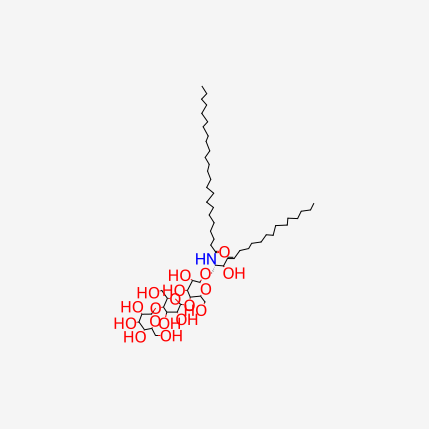 CCCCCCCCCCCCC/C=C/[C@@H](O)[C@H](COC1OC(CO)C(OC2OC(CO)C(OC3OC(CO)C(O)C(O)C3O)C(O)C2O)C(O)C1O)NC(=O)CCCCCCCCCCCCCCCCCCCCCCC